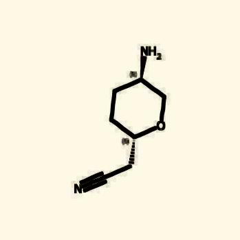 N#CC[C@@H]1CC[C@@H](N)CO1